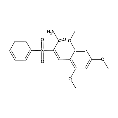 COc1cc(OC)c(C=C(C(N)=O)S(=O)(=O)c2ccccc2)c(OC)c1